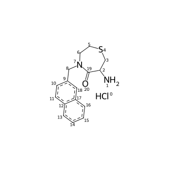 Cl.NC1CSCCN(Cc2ccc3ccccc3c2)C1=O